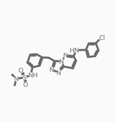 CN(C)S(=O)(=O)Nc1cccc(Cc2nnc3ccc(Nc4cccc(Cl)c4)nn23)c1